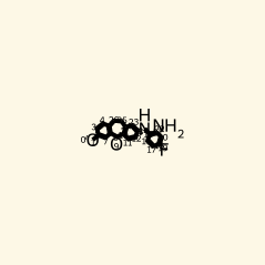 COc1ccc2c(c1)C(=O)c1ccc(Nc3ccc(F)cc3N)cc1CC2